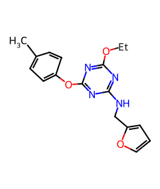 CCOc1nc(NCc2ccco2)nc(Oc2ccc(C)cc2)n1